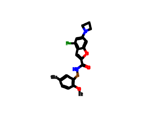 CCOc1ccc(C(C)(C)C)cc1SNC(=O)c1cc2c(F)cc(N3CCC3)cc2o1